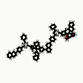 c1ccc(-c2cc(-c3ccc(-c4ccc5c(-c6ccc7c(c6)-c6ccccc6C76c7ccc(-c8nc(-c9ccccc9)nc(-c9ccc(-c%10ccc%11ccccc%11c%10)cc9)n8)cc7Sc7c6ccc6ccccc76)cccc5c4)cc3)nc(-c3ccc4c(c3)Sc3c(ccc5ccccc35)C43c4ccccc4-c4ccccc43)n2)cc1